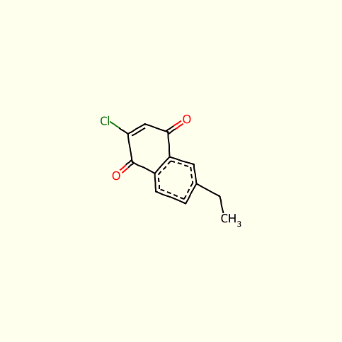 CCc1ccc2c(c1)C(=O)C=C(Cl)C2=O